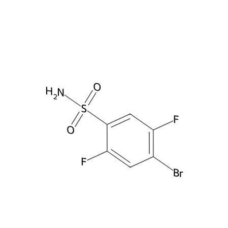 NS(=O)(=O)c1cc(F)c(Br)cc1F